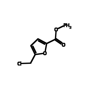 O=C(OP)c1ccc(CCl)o1